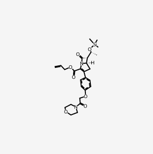 C=CCOC(=O)C1=C(c2ccc(OCC(=O)N3CCOCC3)cc2)C[C@@H]2[C@@H]([C@@H](C)O[Si](C)(C)C)C(=O)N12